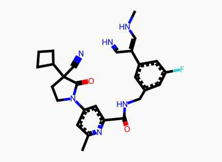 CN/C=C(\C=N)c1cc(F)cc(CNC(=O)c2cc(N3CCC(C#N)(C4CCC4)C3=O)cc(C)n2)c1